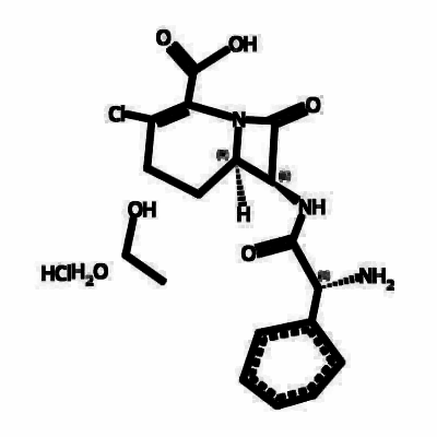 CCO.Cl.N[C@@H](C(=O)N[C@@H]1C(=O)N2C(C(=O)O)=C(Cl)CC[C@H]12)c1ccccc1.O